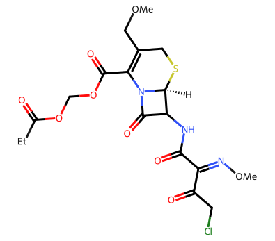 CCC(=O)OCOC(=O)C1=C(COC)CS[C@H]2C(NC(=O)C(=NOC)C(=O)CCl)C(=O)N12